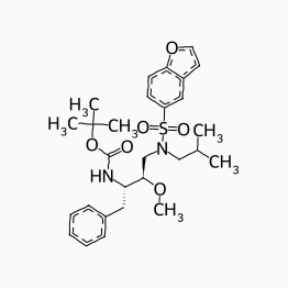 CO[C@H](CN(CC(C)C)S(=O)(=O)c1ccc2occc2c1)[C@H](Cc1ccccc1)NC(=O)OC(C)(C)C